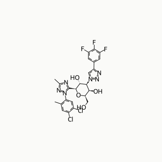 Cc1nc([C@@H]2O[C@H](CO)[C@H](O)[C@H](n3cc(-c4cc(F)c(F)c(F)c4)nn3)[C@H]2O)n(-c2cc(Cl)c(Cl)cc2C)n1